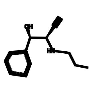 C#C[C@@H](NCCC)[C@H](O)c1ccccc1